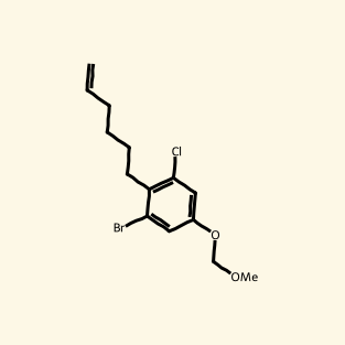 C=CCCCCc1c(Cl)cc(OCOC)cc1Br